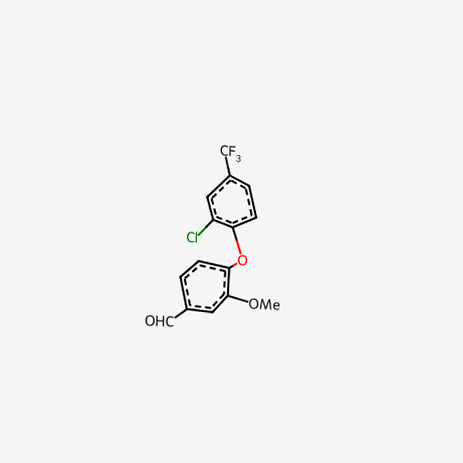 COc1cc(C=O)ccc1Oc1ccc(C(F)(F)F)cc1Cl